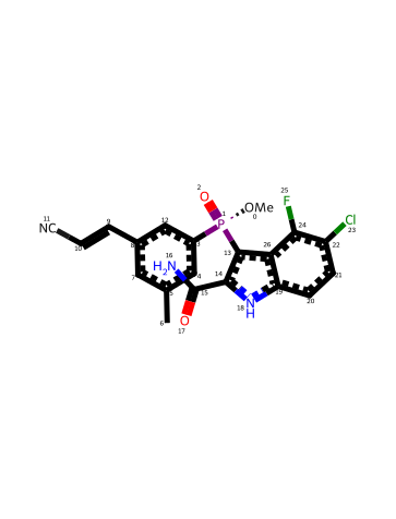 CO[P@@](=O)(c1cc(C)cc(C=CC#N)c1)c1c(C(N)=O)[nH]c2ccc(Cl)c(F)c12